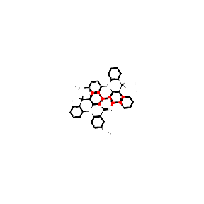 CC1(C)c2ccccc2N(c2ccc(C#N)cc2-c2nc(-c3ccccc3)nc(-c3cc(C#N)ccc3N3c4ccccc4C(C)(C)c4ccccc43)n2)c2ccccc21